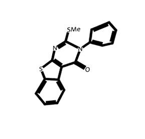 CSc1nc2sc3ccccc3c2c(=O)n1-c1ccccc1